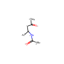 COC(=O)CC(NC(=O)C(C)(C)C)C(C)=O